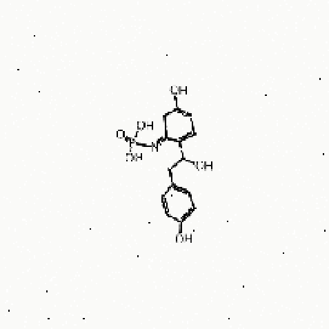 O=P(O)(O)N=C1CC(O)=CC=C1C(O)Cc1ccc(O)cc1